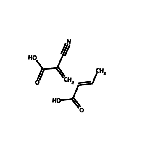 C=C(C#N)C(=O)O.CC=CC(=O)O